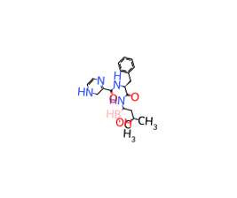 CC(C)C[C@@H](BO)NC(=O)[C@H](Cc1ccccc1)NC(=O)C1=NC=CNC1